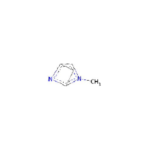 Cn1cc2nc1[CH]2